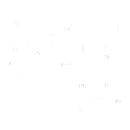 CC(C)C1(C)N=C(c2nc3ccccc3cc2C(=O)O)NC1=O.CCOCN(C(=O)CCl)c1c(C)cccc1CC